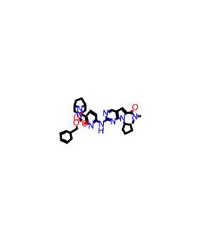 CN(C)C(=O)c1cc2cnc(Nc3ccc(C(=O)N4C5CCC4CN(C(=O)OCC4C=CC=CC4)C5)cn3)nc2n1C1CCCC1